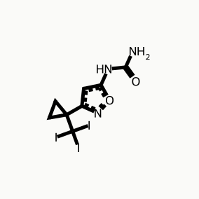 NC(=O)Nc1cc(C2(C(I)(I)I)CC2)no1